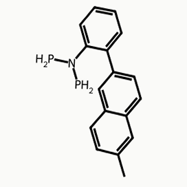 Cc1ccc2cc(-c3ccccc3N(P)P)ccc2c1